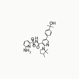 CC1CCN(c2ncc(-c3ccc(C(C)(C)O)cc3)cc2C(=O)NS(=O)(=O)c2cccc(N)n2)C1(C)C